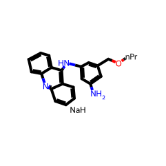 [CH2]CCOCc1cc(N)cc(Nc2c3ccccc3nc3ccccc23)c1.[NaH]